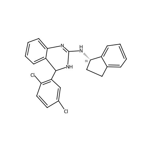 Clc1ccc(Cl)c(C2NC(N[C@H]3CCc4ccccc43)=Nc3ccccc32)c1